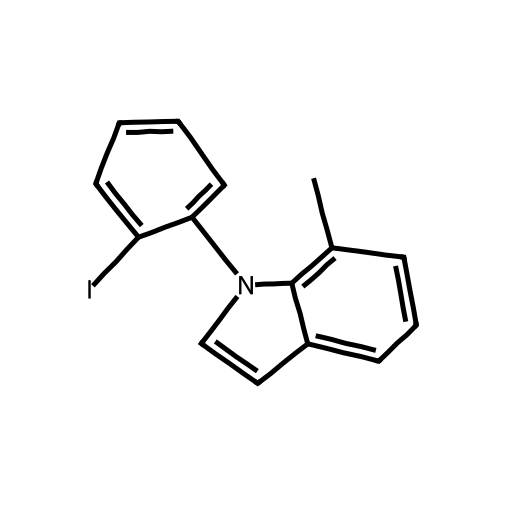 Cc1cccc2ccn(-c3ccccc3I)c12